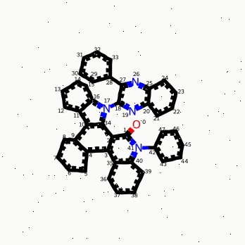 O=c1c2c(c3ccccc3c3c4ccccc4n(-c4nc5ccccc5nc4-c4ccccc4)c23)c2ccccc2n1-c1ccccc1